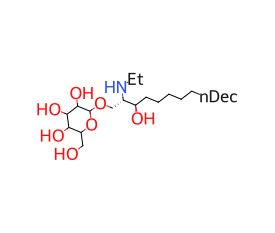 CCCCCCCCCCCCCCC[C@@H](O)[C@H](COC1OC(CO)C(O)C(O)C1O)NCC